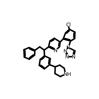 Clc1ccc(-n2cnnn2)c(-c2ccc(C(Cc3ccccc3)c3cccc(C4CCNCC4)c3)nc2)c1